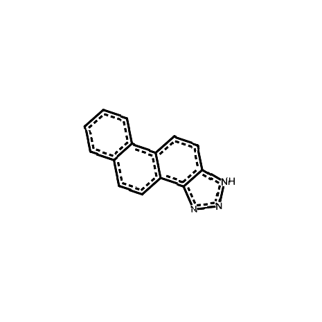 c1ccc2c(c1)ccc1c2ccc2[nH]nnc21